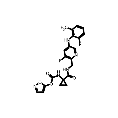 O=C(NC1(C(=O)NCc2ncc(Nc3c(F)cccc3C(F)(F)F)cc2F)CC1)Oc1ccno1